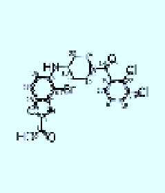 O=C(O)c1cc2c(Br)c(NC3CCN(C(=O)c4cccc(Cl)c4Cl)CC3)ccc2o1